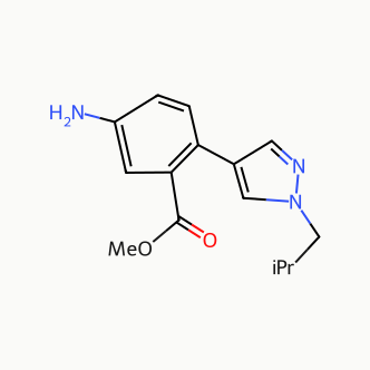 COC(=O)c1cc(N)ccc1-c1cnn(CC(C)C)c1